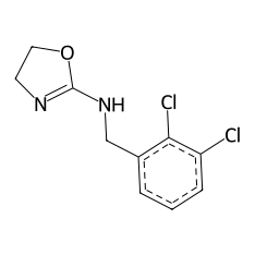 Clc1cccc(CNC2=NCCO2)c1Cl